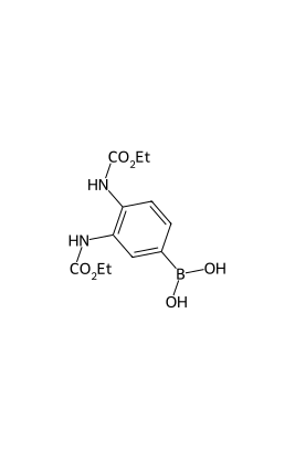 CCOC(=O)Nc1ccc(B(O)O)cc1NC(=O)OCC